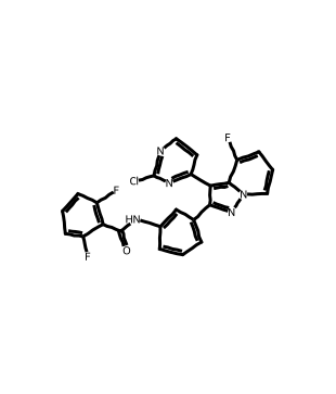 O=C(Nc1cccc(-c2nn3cccc(F)c3c2-c2ccnc(Cl)n2)c1)c1c(F)cccc1F